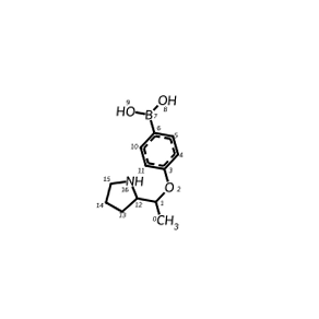 CC(Oc1ccc(B(O)O)cc1)C1CCCN1